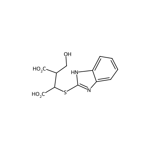 O=C(O)C(CO)C(Sc1nc2ccccc2[nH]1)C(=O)O